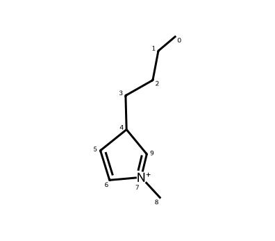 CCCCC1C=C[N+](C)=C1